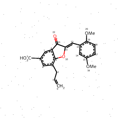 C=CCc1cc(C(=O)O)cc2c1OC(=Cc1cc(OC)ccc1OC)C2=O